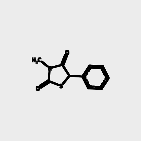 CN1C(=O)SC(c2ccccc2)C1=O